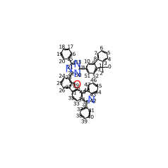 CC1(C)c2ccccc2-c2cc(-c3nc(-c4ccccc4)nc(-c4cccc5c4oc4c5ccc5c(-c6ccccc6)nc6ccccc6c54)n3)ccc21